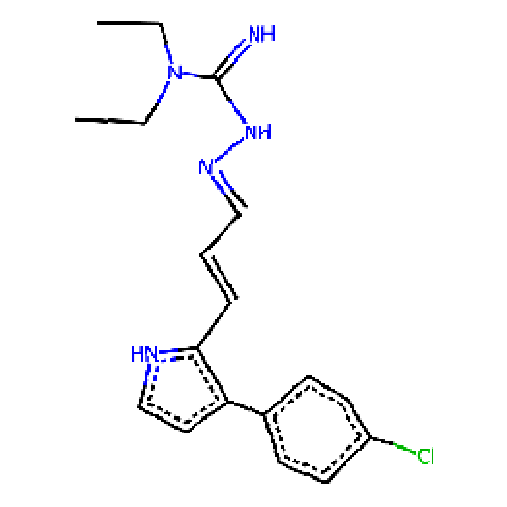 CCN(CC)C(=N)NN=CC=Cc1[nH]ccc1-c1ccc(Cl)cc1